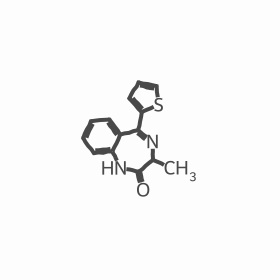 CC1N=C(c2cccs2)c2ccccc2NC1=O